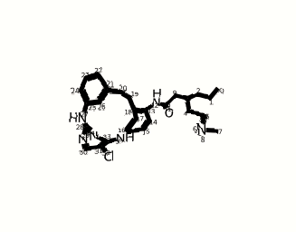 CCCC(CCN(C)C)CC(=O)Nc1ccc2cc1CCc1cccc(c1)Nc1ncc(Cl)c(n1)N2